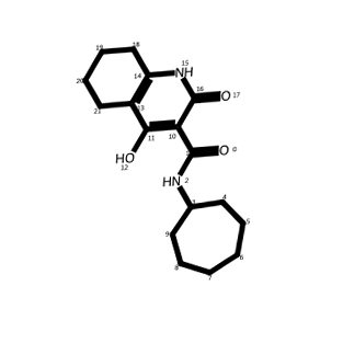 O=C(NC1CCCCCC1)c1c(O)c2c([nH]c1=O)CCCC2